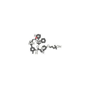 Cc1ccc(-c2noc(C[C@H](O[Si](c3ccccc3)(c3ccccc3)C(C)(C)C)C(F)F)n2)cc1NC(=O)c1cnc2cc(OCCCC(C)(C)O)ccn12